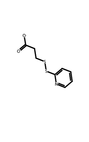 [O]C(=O)CCSSc1ccccn1